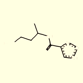 CC(CCC(=O)O)NC(=O)c1c[nH]nn1